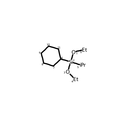 CCO[Si](OCC)(C(C)C)C1CCCCC1